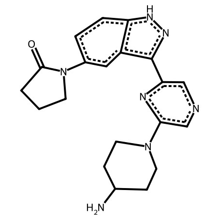 NC1CCN(c2cncc(-c3n[nH]c4ccc(N5CCCC5=O)cc34)n2)CC1